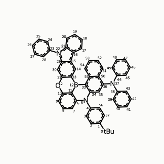 CC(C)(C)c1ccc(N2c3cccc4c3B(c3cc5c6ccccc6n(-c6ccccc6)c5cc3O4)c3c2cc(N(c2ccccc2)c2ccccc2)c2ccccc32)cc1